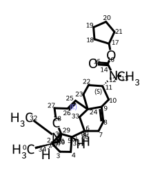 C[C@H]1[C@H]2CC[C@H]3[C@@H]4CC=C5C[C@@H](N(C)C(=O)OC6CCCC6)CCC5(/C=C/CCC23CN1C)C4